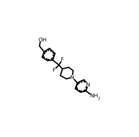 Nc1ccc(N2CCC(C(F)(F)c3ccc(CO)cc3)CC2)cn1